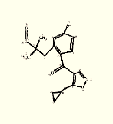 CC(C)(Cc1cc(Br)ccc1C(=O)c1cnoc1C1CC1)[S+]=O